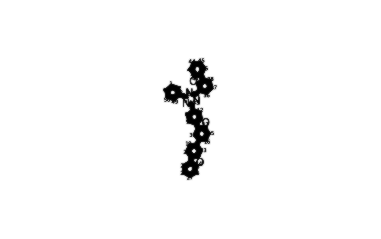 c1ccc(-c2nc(-c3ccc4c(c3)oc3ccc(-c5ccc6c(c5)oc5ccccc56)cc34)nc(-c3cccc4c3oc3ccccc34)n2)cc1